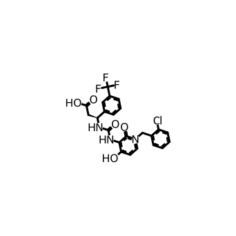 O=C(O)C[C@H](NC(=O)Nc1c(O)ccn(Cc2ccccc2Cl)c1=O)c1cccc(C(F)(F)F)c1